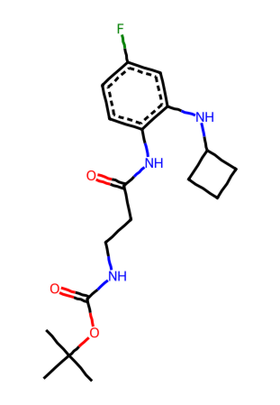 CC(C)(C)OC(=O)NCCC(=O)Nc1ccc(F)cc1NC1CCC1